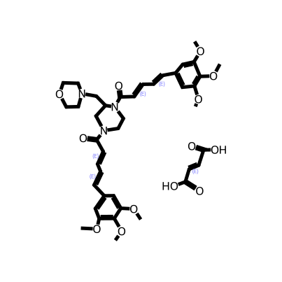 COc1cc(/C=C/C=C/C(=O)N2CCN(C(=O)/C=C/C=C/c3cc(OC)c(OC)c(OC)c3)C(CN3CCOCC3)C2)cc(OC)c1OC.O=C(O)/C=C/C(=O)O